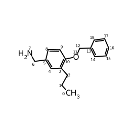 CC[CH]c1cc(CN)ccc1OCc1ccccc1